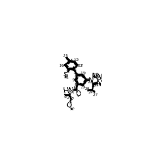 COCC(C)NC(=O)c1cc(-c2ccc(C)cc2F)cc(-n2nnnc2C(C)C)c1